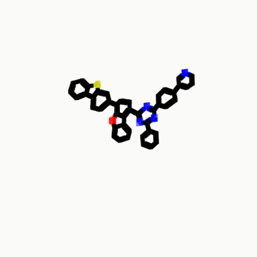 c1ccc(-c2nc(-c3ccc(-c4cccnc4)cc3)nc(-c3ccc(-c4ccc5c(c4)sc4ccccc45)c4oc5ccccc5c34)n2)cc1